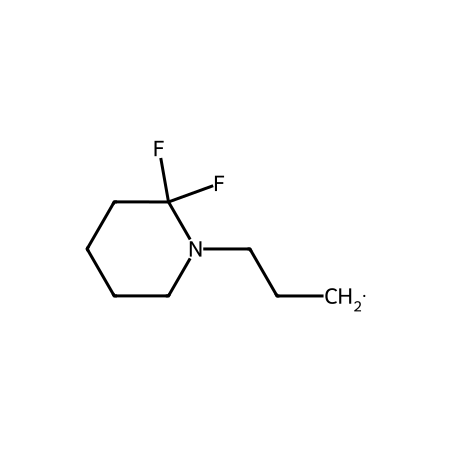 [CH2]CCN1CCCCC1(F)F